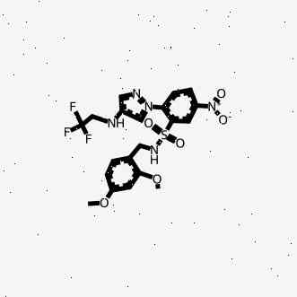 COc1ccc(CNS(=O)(=O)c2cc([N+](=O)[O-])ccc2-n2cc(NCC(F)(F)F)cn2)c(OC)c1